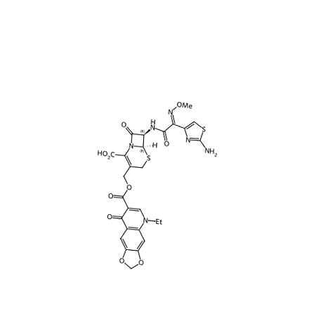 CCn1cc(C(=O)OCC2=C(C(=O)O)N3C(=O)[C@@H](NC(=O)C(=NOC)c4csc(N)n4)[C@H]3SC2)c(=O)c2cc3c(cc21)OCO3